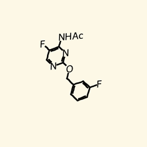 CC(=O)Nc1nc(OCc2cccc(F)c2)ncc1F